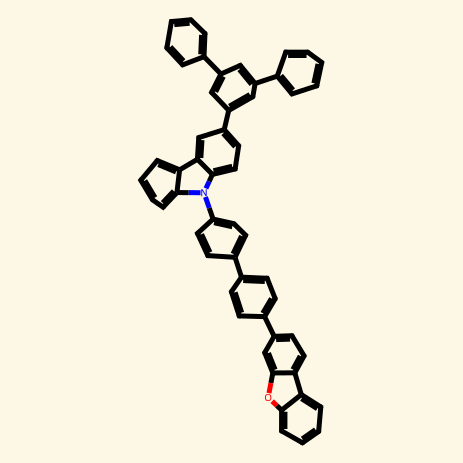 c1ccc(-c2cc(-c3ccccc3)cc(-c3ccc4c(c3)c3ccccc3n4-c3ccc(-c4ccc(-c5ccc6c(c5)oc5ccccc56)cc4)cc3)c2)cc1